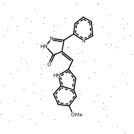 COc1ccc2[nH]c(C=C3C(=O)NN=C3c3ccccn3)cc2c1